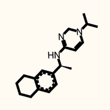 CC(C)N1C=CC(N[C@@H](C)c2ccc3c(c2)CCCC3)=NC1